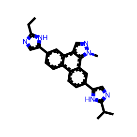 CCc1ncc(-c2ccc3c(c2)c2cnn(C)c2c2cc(-c4cnc(C(C)C)[nH]4)ccc32)[nH]1